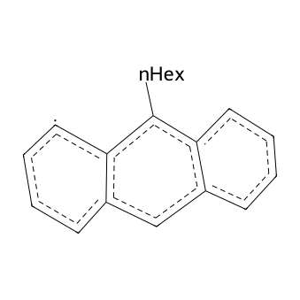 CCCCCCc1c2[c]cccc2cc2ccccc12